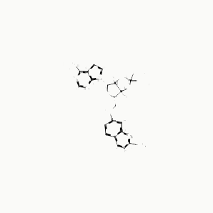 CC1(C)O[C@@H]2[C@H](O1)[C@@H](COc1ccc3ccc(C#N)nc3c1)O[C@H]2n1ccc2c(N)ncnc21